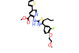 CCCc1sc(Nc2ncc(-c3cccs3)cc2C(=O)OC)nc1-c1ccc(OCCOC)c(F)c1